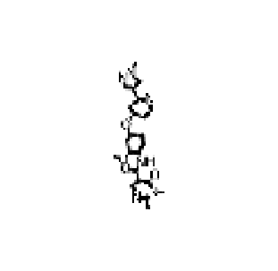 COc1cc(Oc2ccnc(-c3cnn(C)c3)c2)ccc1NC(=O)c1cnc(C)n(C)c1=O